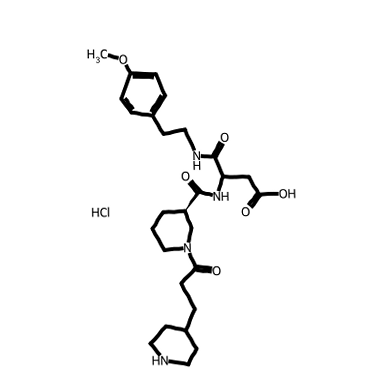 COc1ccc(CCNC(=O)C(CC(=O)O)NC(=O)[C@@H]2CCCN(C(=O)CCC3CCNCC3)C2)cc1.Cl